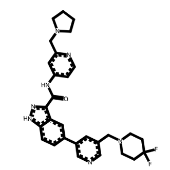 O=C(Nc1ccnc(CN2CCCC2)c1)c1n[nH]c2ccc(-c3cncc(CN4CCC(F)(F)CC4)c3)cc12